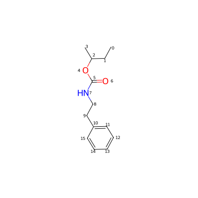 CCC(C)OC(=O)NCCc1ccccc1